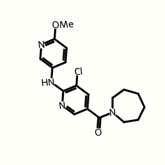 COc1ccc(Nc2ncc(C(=O)N3CCCCCC3)cc2Cl)cn1